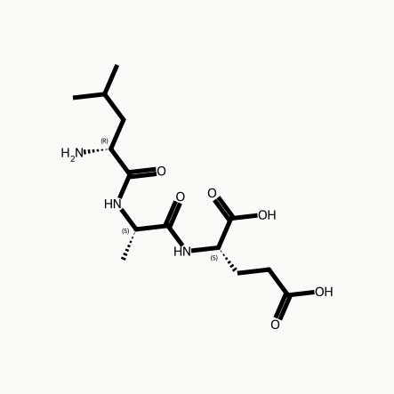 CC(C)C[C@@H](N)C(=O)N[C@@H](C)C(=O)N[C@@H](CCC(=O)O)C(=O)O